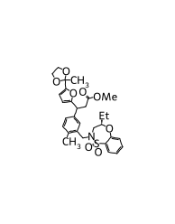 CC[C@@H]1CN(Cc2cc(C(CC(=O)OC)c3ccc(C4(C)OCCO4)o3)ccc2C)S(=O)(=O)c2ccccc2O1